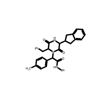 Cc1ccc(C(C(=O)NC(C)C)N2C(=O)C(C3Cc4ccccc4C3)NC(=O)C2CC(C)C)cc1